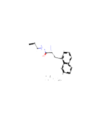 C=CCNC(=O)CCc1cccc2ccc(OC)cc12